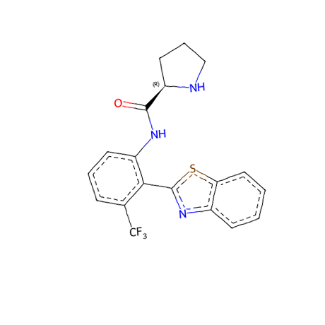 O=C(Nc1cccc(C(F)(F)F)c1-c1nc2ccccc2s1)[C@H]1CCCN1